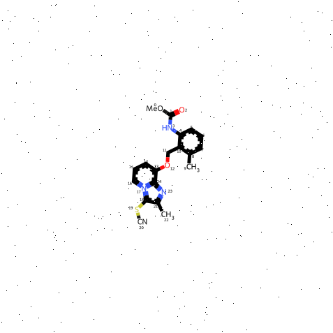 COC(=O)Nc1cccc(C)c1COc1cccn2c(SC#N)c(C)nc12